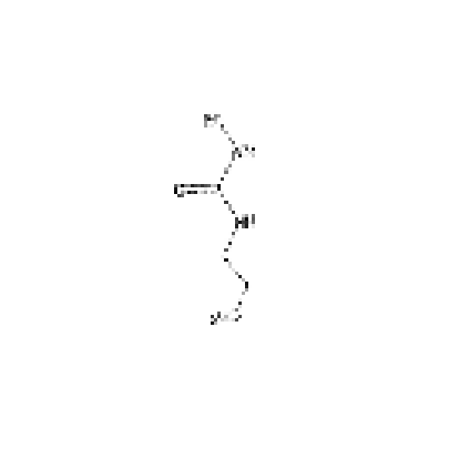 CCNC(=O)NCCOC